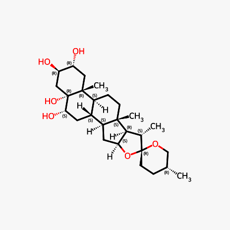 C[C@@H]1CC[C@@]2(OC1)O[C@H]1C[C@H]3[C@@H]4C[C@H](O)[C@@]5(O)C[C@@H](O)[C@H](O)C[C@]5(C)[C@H]4CC[C@]3(C)[C@H]1[C@@H]2C